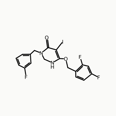 O=C1C(I)=C(OCc2ccc(F)cc2F)NCN1Cc1cccc(F)c1